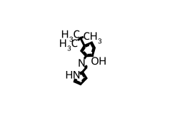 CC(C)(C)c1ccc(O)c(/N=C/c2ccc[nH]2)c1